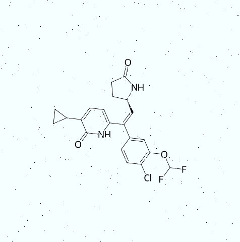 O=C1CC[C@H](C=C(c2ccc(Cl)c(OC(F)F)c2)c2ccc(C3CC3)c(=O)[nH]2)N1